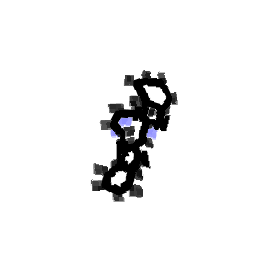 C1=CCC2=NC3=C/c4nc5ccccc5n4/C=C/C=[N+]\3C2=C1